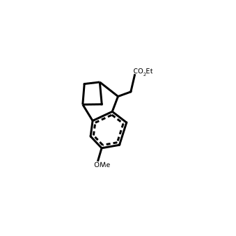 CCOC(=O)CC1c2ccc(OC)cc2C2CC1C2